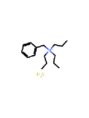 CCC[N+](CCC)(CCC)Cc1ccccc1.S